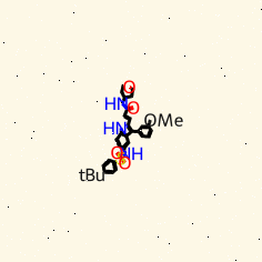 COc1cccc(-c2c(C=CC(=O)NC3CCOCC3)[nH]c3ccc(NS(=O)(=O)c4ccc(C(C)(C)C)cc4)cc23)c1